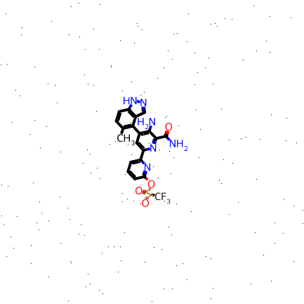 Cc1ccc2[nH]ncc2c1-c1cc(-c2cccc(OS(=O)(=O)C(F)(F)F)n2)nc(C(N)=O)c1N